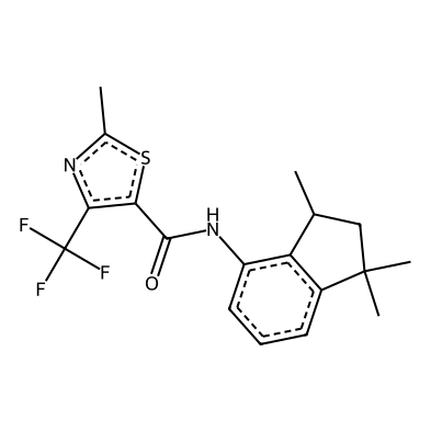 Cc1nc(C(F)(F)F)c(C(=O)Nc2cccc3c2C(C)CC3(C)C)s1